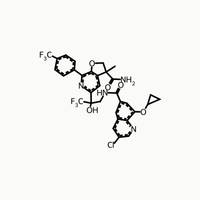 CC1(C(N)=O)COc2c1cc(C(O)(CNC(=O)c1cc(OC3CC3)c3ncc(Cl)cc3c1)C(F)(F)F)nc2-c1ccc(C(F)(F)F)cc1